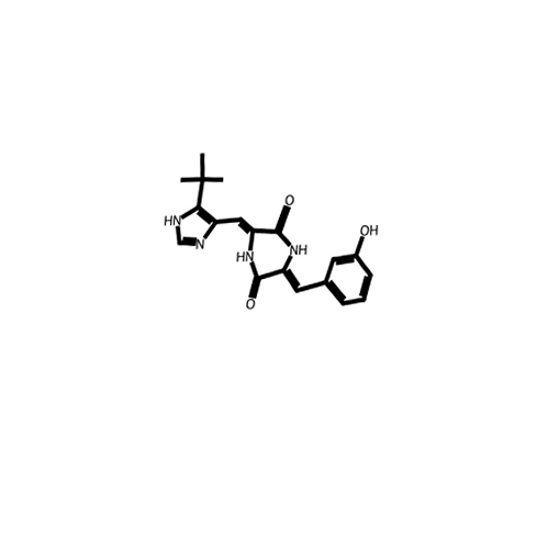 CC(C)(C)c1[nH]cnc1/C=c1\[nH]c(=O)/c(=C/c2cccc(O)c2)[nH]c1=O